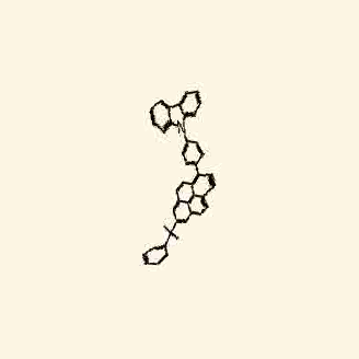 CC(C)(c1ccccc1)c1cc2ccc3ccc(-c4ccc(-n5c6ccccc6c6ccccc65)cc4)c4ccc(c1)c2c34